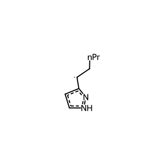 CCCC[CH]c1cc[nH]n1